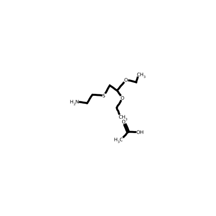 CC(=O)O.CCOC(CSCCN)OCC